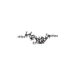 CCCCCCc1cc(F)c(-c2cc(F)c(-c3cnc(-c4cc5c(s4)-c4sc(-c6ncc(-c7sc(-c8sc(CCCCCC)cc8F)cc7F)c7nsnc67)cc4[Si]5(CC(CC)CCCC)CC(CC)CCCC)c4nsnc34)s2)s1